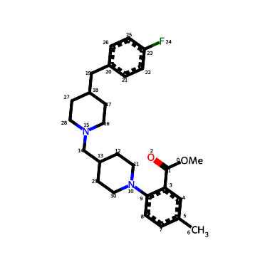 COC(=O)c1cc(C)ccc1N1CCC(CN2CCC(Cc3ccc(F)cc3)CC2)CC1